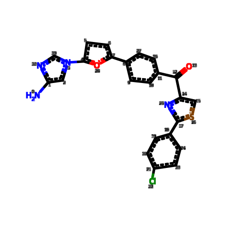 Nc1cn(-c2ccc(-c3ccc(C(=O)c4csc(-c5ccc(Cl)cc5)n4)cc3)o2)cn1